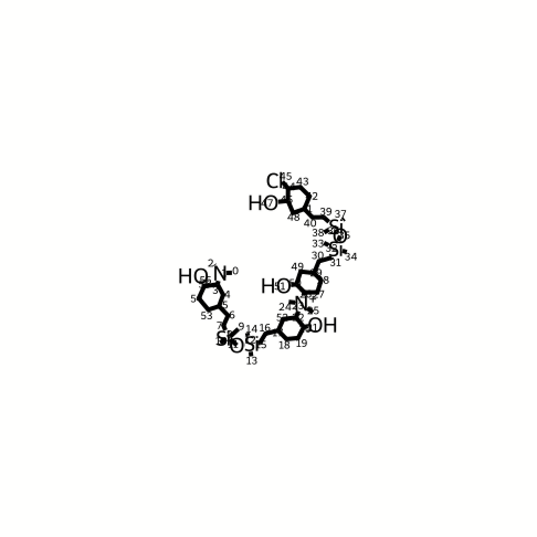 CN(C)C1CC(CC[Si](C)(C)O[Si](C)(C)CCC2CCC(O)C([N+](C)(C)C3CCC(CC[Si](C)(C)O[Si](C)(C)CCC4CCC(Cl)C(O)C4)CC3O)C2)CCC1O